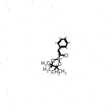 CC1(C)OB(/C(Cl)=C/c2ccccc2)OC1(C)C